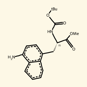 COC(=O)[C@H](Cc1ccc(N)c2ccccc12)NC(=O)OC(C)(C)C